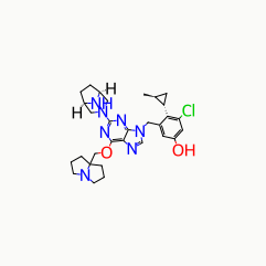 C[C@H]1C[C@@H]1c1c(Cl)cc(O)cc1Cn1cnc2c(OCC34CCCN3CCC4)nc(N3C[C@H]4CC[C@@H](C3)N4)nc21